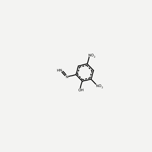 N=Nc1cc([N+](=O)[O-])cc([N+](=O)[O-])c1O